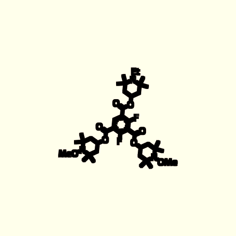 CCN1C(C)(C)CC(OC(=O)c2cc(C(=O)OC3CC(C)(C)N(OC)C(C)(C)C3)c(F)c(C(=O)OC3CC(C)(C)N(OC)C(C)(C)C3)c2F)CC1(C)C